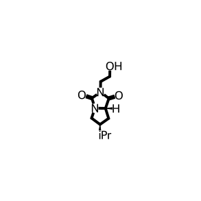 CC(C)[C@@H]1C[C@H]2C(=O)N(CCO)C(=O)N2C1